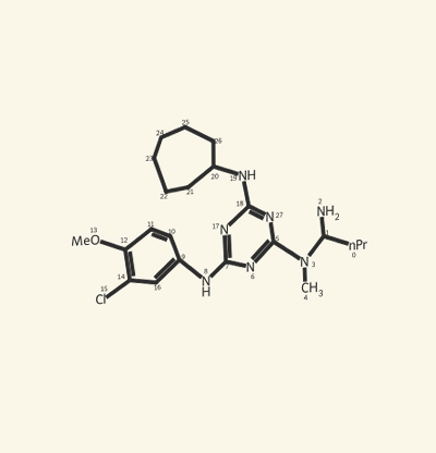 CCCC(N)N(C)c1nc(Nc2ccc(OC)c(Cl)c2)nc(NC2CCCCCC2)n1